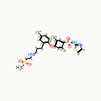 CS(=O)(=O)CCNCCCc1cc(Cl)ccc1Oc1cc(F)c(S(=O)(=O)Nc2nccs2)cc1Cl